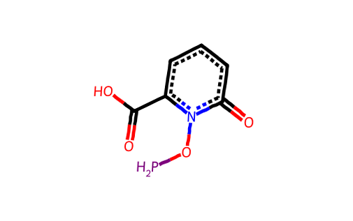 O=C(O)c1cccc(=O)n1OP